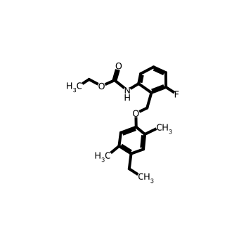 CCOC(=O)Nc1cccc(F)c1COc1cc(C)c(CC)cc1C